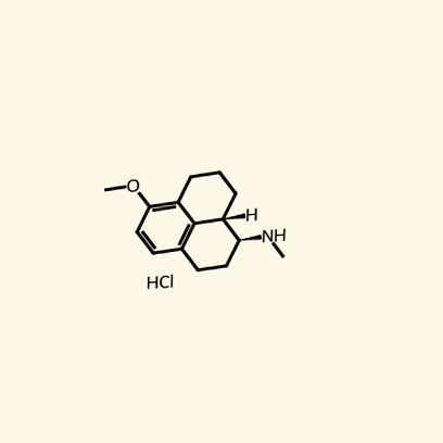 CN[C@H]1CCc2ccc(OC)c3c2[C@@H]1CCC3.Cl